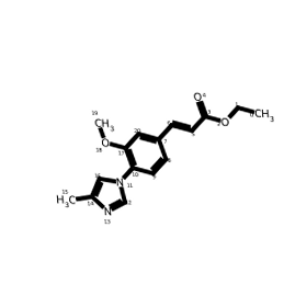 CCOC(=O)C=Cc1ccc(-n2cnc(C)c2)c(OC)c1